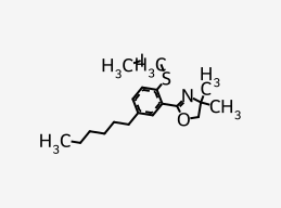 CCCCCCc1ccc(SC)c(C2=NC(C)(C)CO2)c1.CI